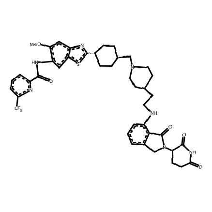 COc1cc2nc([C@H]3CC[C@H](CN4CCC(CCNc5cccc6c5C(=O)N(C5CCC(=O)NC5=O)C6)CC4)CC3)sc2cc1NC(=O)c1cccc(C(F)(F)F)n1